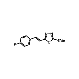 CSc1nnc(/C=C/c2ccc(F)cc2)o1